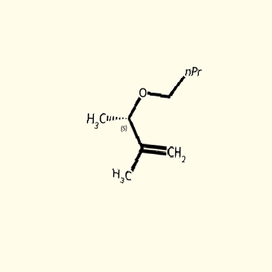 C=C(C)[C@H](C)OCCCC